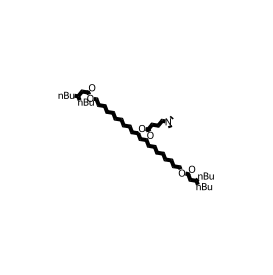 CCCCC(CCCC)CC(=O)OCCCCCCCCCCC(CCCCCCCCCCOC(=O)CC(CCCC)CCCC)OC(=O)CCCN(C)C